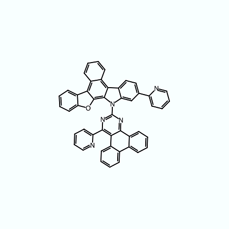 c1ccc(-c2ccc3c4c5ccccc5c5c6ccccc6oc5c4n(-c4nc(-c5ccccn5)c5c6ccccc6c6ccccc6c5n4)c3c2)nc1